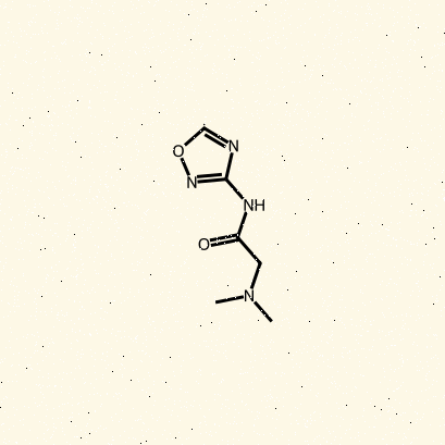 CN(C)CC(=O)Nc1n[c]on1